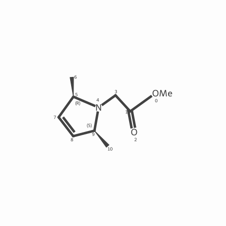 COC(=O)CN1[C@H](C)C=C[C@@H]1C